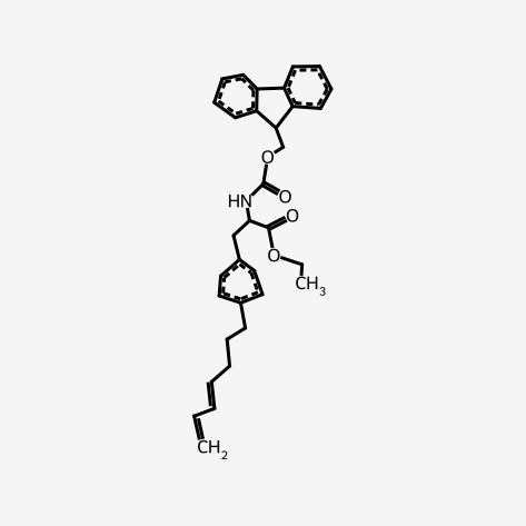 C=C/C=C/CCCc1ccc(CC(NC(=O)OCC2c3ccccc3-c3ccccc32)C(=O)OCC)cc1